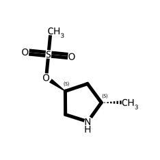 C[C@H]1C[C@H](OS(C)(=O)=O)CN1